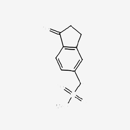 COS(=O)(=O)Cc1ccc2c(c1)CCC2=O